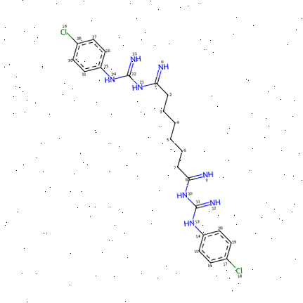 N=C(CCCCCCC(=N)NC(=N)Nc1ccc(Cl)cc1)NC(=N)Nc1ccc(Cl)cc1